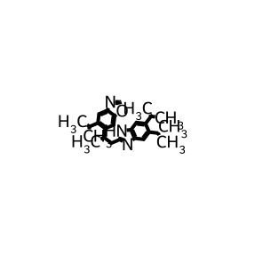 CC(C)c1cc2nc(CC(C)c3cc4ocnc4cc3C(C)C)[nH]c2cc1C(C)C